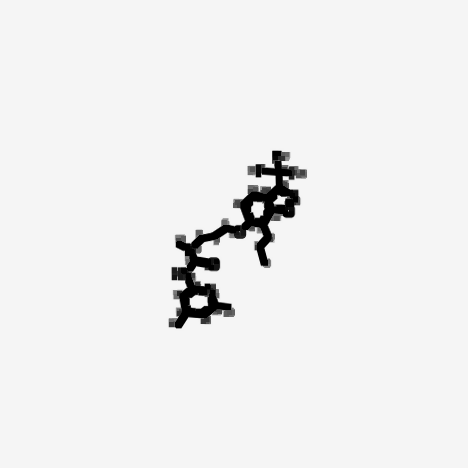 CCCc1c(OCCCN(C)C(=O)Nc2cc(C)cc(C)n2)ccc2c(C(F)(F)F)noc12